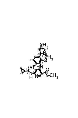 CCC(=O)c1cnc(NC(=O)C2CC2)c(F)c1Nc1cccc(-c2ncn(C)n2)c1OC